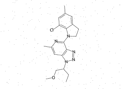 CCC(COC)n1nnc2c(N3CCc4cc(C)cc(Cl)c43)nc(C)cc21